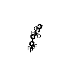 O=C(NCc1cccc[n+]1[O-])c1cccc(-c2ccc(C(F)(F)F)c(F)c2)c1